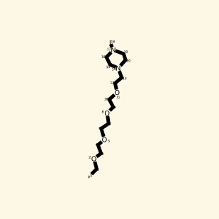 ICOCCOCCOCCOCCN1CCN(I)CC1